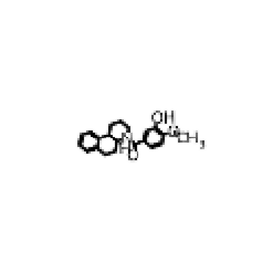 COc1ccc(C(=O)N2CCCC3c4ccccc4CC[C@@H]32)cc1O